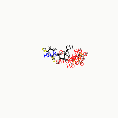 C#C[C@]1(COP(=O)(O)OP(=O)(O)OP(=O)(O)O)O[C@@H](n2ccc(=S)[nH]c2=S)C(O)[C@H]1O